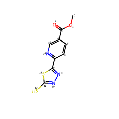 COC(=O)c1ccc(-c2nnc(S)s2)nc1